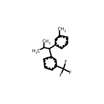 Cc1cccc(C(c2cccc(C(F)(F)F)c2)C(C)C)c1